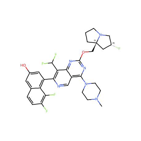 CN1CCN(c2nc(OC[C@@]34CCCN3C[C@H](F)C4)nc3c(C(F)F)c(-c4cc(O)cc5ccc(F)c(F)c45)ncc23)CC1